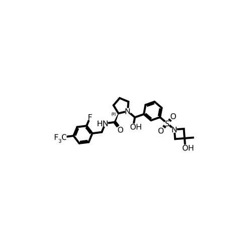 CC1(O)CN(S(=O)(=O)c2cccc(C(O)N3CCC[C@@H]3C(=O)NCc3ccc(C(F)(F)F)cc3F)c2)C1